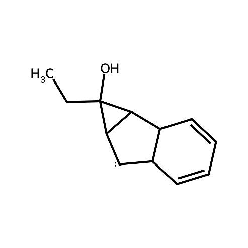 CCC1(O)C2[C]C3C=CC=CC3C21